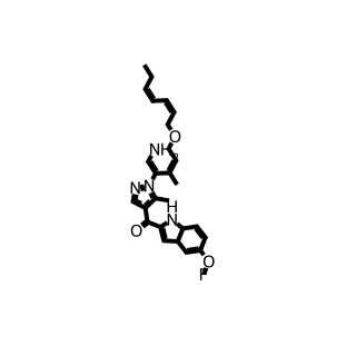 CC/C=C\C=C/COC/C=C(C)\C(=C/N)n1ncc(C(=O)C2=CC3C=C(OF)C=CC3N2)c1C